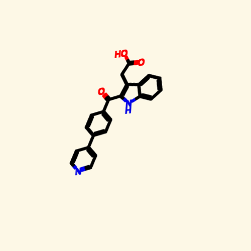 O=C(O)Cc1c(C(=O)c2ccc(-c3ccncc3)cc2)[nH]c2ccccc12